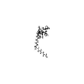 CCCCCCCC/C=C\CCCCCCC(C)(C)C(=O)Nc1c(OC)cc(OC)cc1OC